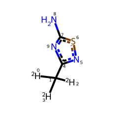 [2H]C([2H])([2H])c1nsc(N)n1